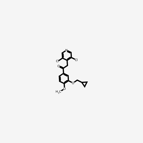 COc1ccc(C(=O)Cc2c(Cl)cncc2Cl)cc1OCC1CC1